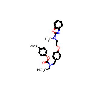 COc1ccc(OC(=O)N(CC(=O)O)Cc2ccc(OCCN(C)c3nc4ccccc4o3)cc2)cc1